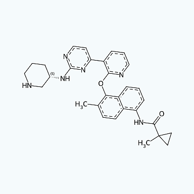 Cc1ccc2c(NC(=O)C3(C)CC3)cccc2c1Oc1ncccc1-c1ccnc(N[C@H]2CCCNC2)n1